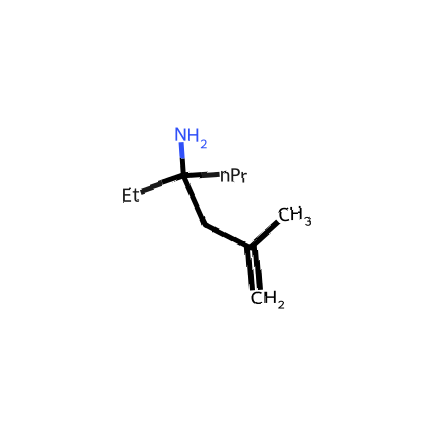 C=C(C)CC(N)(CC)CCC